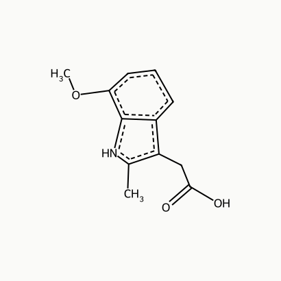 COc1cccc2c(CC(=O)O)c(C)[nH]c12